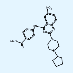 COC(=O)c1ccc(Nc2nc(N3CCN(C4CCCC4)CC3)nc3ccc([N+](=O)[O-])cc23)cc1